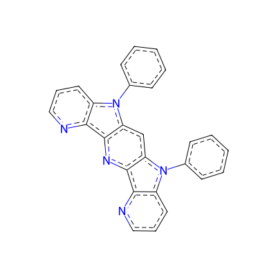 c1ccc(-n2c3cccnc3c3nc4c5ncccc5n(-c5ccccc5)c4cc32)cc1